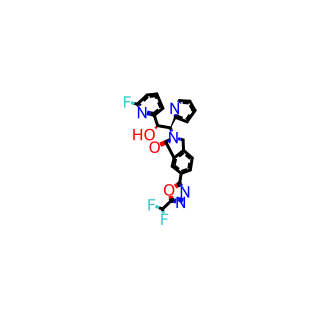 O=C1c2cc(-c3nnc(C(F)F)o3)ccc2CN1[C@H](c1ccccn1)[C@@H](O)c1cccc(F)n1